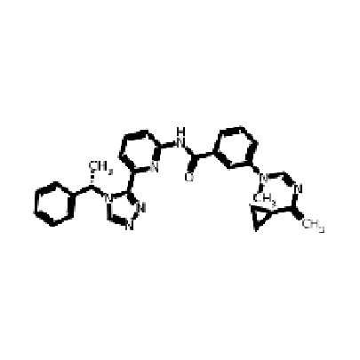 C=C(/N=C\N(C)c1cccc(C(=O)Nc2cccc(-c3nncn3[C@@H](C)c3ccccc3)n2)c1)C1CC1